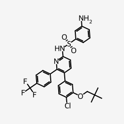 CC(C)(C)COc1cc(-c2ccc(NS(=O)(=O)c3cccc(N)c3)nc2-c2ccc(C(F)(F)F)cc2)ccc1Cl